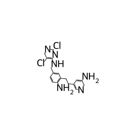 Nc1cncc(CCc2cc(CNc3nc(Cl)ncc3Cl)ccc2N)c1